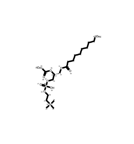 CCCCCCCCCCCCCCCCCCC(=O)OC[C@H](COP(=O)(O)OCC[N+](C)(C)C)OC(=O)CCCCCCCCCC